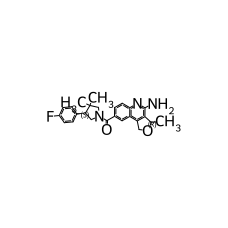 C[C@H]1OCc2c1c(N)nc1ccc(C(=O)N3C[C@@H](c4ccc(F)cc4)C(C)(C)C3)cc21